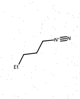 CCCCC[N+]#N